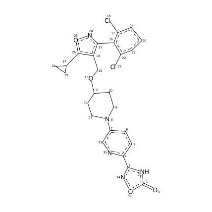 O=c1[nH]c(-c2ccc(N3CCC(OCc4c(-c5c(Cl)cccc5Cl)noc4C4CC4)CC3)cn2)no1